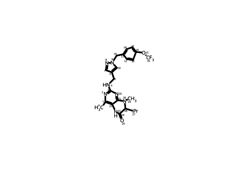 Cc1nc(NCc2cnn(Cc3ccc(OC(F)(F)F)cc3)c2)nc2c1NC(=O)C(C(C)C)N2C